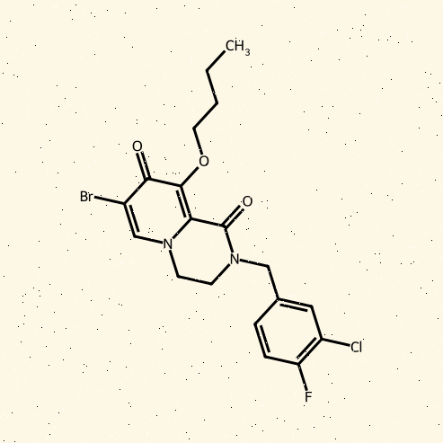 CCCCOc1c2n(cc(Br)c1=O)CCN(Cc1ccc(F)c(Cl)c1)C2=O